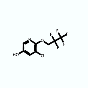 Oc1cnc(OCC(F)(F)C(F)(F)F)c(Cl)c1